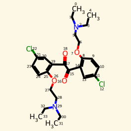 CCN(CC)CCOc1ccc(Cl)cc1C(=O)C(=O)c1cc(Cl)ccc1OCCN(CC)CC